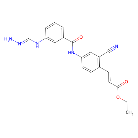 CCOC(=O)C=Cc1ccc(NC(=O)c2cccc(NC=NN)c2)cc1C#N